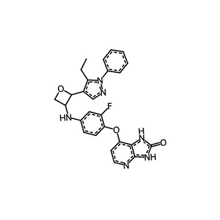 CCc1c(C2OCC2Nc2ccc(Oc3ccnc4[nH]c(=O)[nH]c34)c(F)c2)cnn1-c1ccccc1